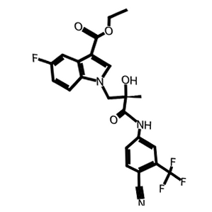 CCOC(=O)c1cn(C[C@](C)(O)C(=O)Nc2ccc(C#N)c(C(F)(F)F)c2)c2ccc(F)cc12